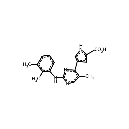 Cc1cnc(Nc2cccc(C)c2C)nc1-c1c[nH]c(C(=O)O)c1